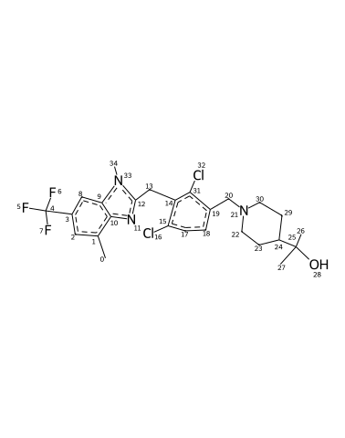 Cc1cc(C(F)(F)F)cc2c1nc(Cc1c(Cl)ccc(CN3CCC(C(C)(C)O)CC3)c1Cl)n2C